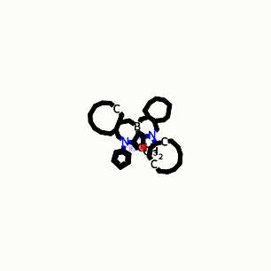 C=C/C1=C2/B(CC3CCCCCCCCCCC3CN(c3ccccc3)/C2=C/C)CC2CCCCCCCC2CN1C1CCCCCCCCCCC1